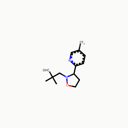 CC(C)(C=O)CN1OCCC1c1ccc(C(F)(F)F)cn1